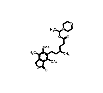 COc1c(C)c2c(c(OC(C)=O)c1CCC(C)CCC(=O)OC(C)N1CCOCC1)C(=O)OC2